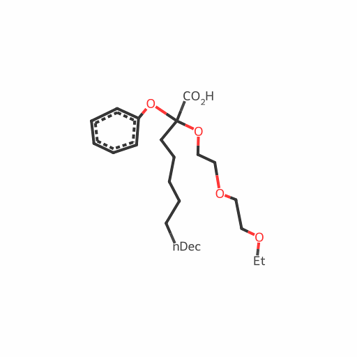 CCCCCCCCCCCCCCCC(OCCOCCOCC)(Oc1ccccc1)C(=O)O